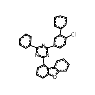 Clc1ccc(-c2nc(-c3ccccc3)nc(-c3cccc4oc5ccccc5c34)n2)cc1-c1ccccc1